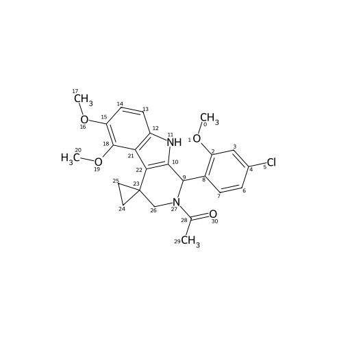 COc1cc(Cl)ccc1C1c2[nH]c3ccc(OC)c(OC)c3c2C2(CC2)CN1C(C)=O